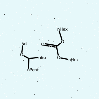 CCCCCC(CCCC)[O][Sn].CCCCCCOC(=O)OCCCCCC